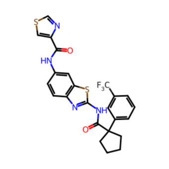 O=C(Nc1ccc2nc(NC(=O)C3(c4cccc(C(F)(F)F)c4)CCCC3)sc2c1)c1cscn1